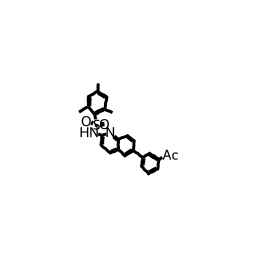 CC(=O)c1cccc(-c2ccc3nc(NS(=O)(=O)c4c(C)cc(C)cc4C)ccc3c2)c1